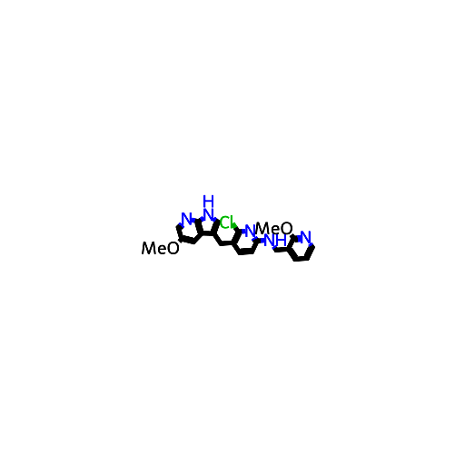 COc1cnc2[nH]cc(Cc3ccc(NCc4cccnc4OC)nc3Cl)c2c1